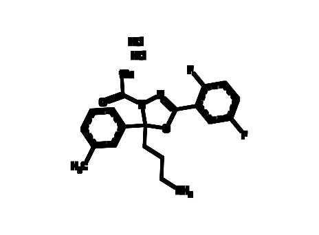 Cc1cccc(C2(CCCN)OC(c3cc(F)ccc3F)=NN2C(=O)C(C)(C)C)c1.Cl.Cl